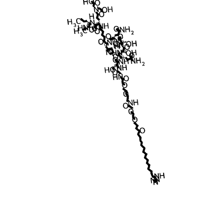 CCCC[C@H](NC(=O)[C@H](CCCCN(CC(=O)O)CC(=O)O)NC(=O)CCCC(=O)[C@H](CC1=CCC=N1)NC(=O)[C@H](CCC(N)=O)NC(=O)[C@H](CO)NC(=O)[C@H](CO)NC(=O)[C@H](CCC(N)=O)NC(=O)[C@@H](CO)NC(=O)CNC(=O)COCCOCCNC(=O)COCCOCCCC(=O)CCCCCCCCCCCCCCCc1nnn[nH]1)C(=O)NC